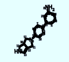 Nc1cccc(-c2ccc(N3CC4=CNCC4C3)cn2)c1